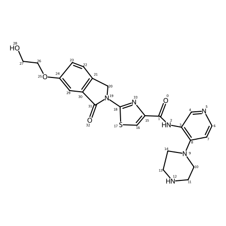 O=C(Nc1cnccc1N1CCNCC1)c1csc(N2Cc3ccc(OCCO)cc3C2=O)n1